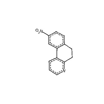 O=[N+]([O-])c1ccc2c(c1)-c1cccnc1CC2